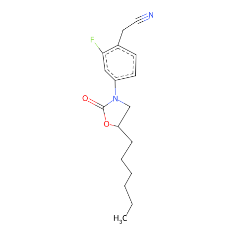 CCCCCCC1CN(c2ccc(CC#N)c(F)c2)C(=O)O1